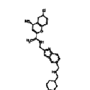 C=C(NCc1cn2cc(CNCC3CCCCC3)ccc2n1)C1=CC(O)C2=C(C=CC(Cl)C2)O1